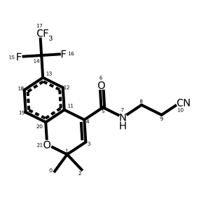 CC1(C)C=C(C(=O)NCCC#N)c2cc(C(F)(F)C(F)(F)F)ccc2O1